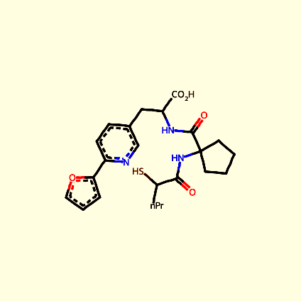 CCCC(S)C(=O)NC1(C(=O)NC(Cc2ccc(-c3ccco3)nc2)C(=O)O)CCCC1